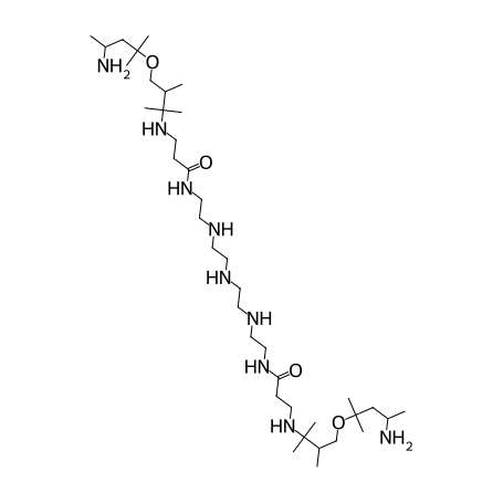 CC(N)CC(C)(C)OCC(C)C(C)(C)NCCC(=O)NCCNCCNCCNCCNC(=O)CCNC(C)(C)C(C)COC(C)(C)CC(C)N